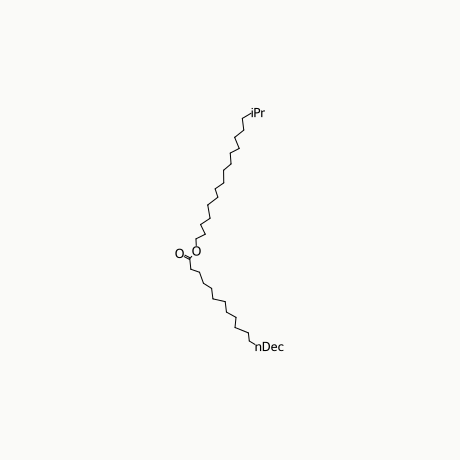 CCCCCCCCCCCCCCCCCCCCCC(=O)OCCCCCCCCCCCCCCCC(C)C